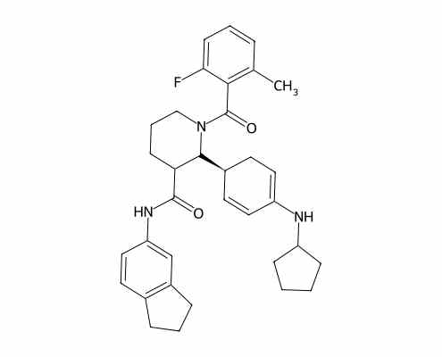 Cc1cccc(F)c1C(=O)N1CCCC(C(=O)Nc2ccc3c(c2)CCC3)C1[C@@H]1C=CC(NC2CCCC2)=CC1